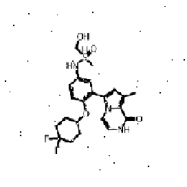 Cc1cc(-c2cc(N[SH](C)(=O)CO)ccc2OC2CCC(F)(F)CC2)n2cc[nH]c(=O)c12